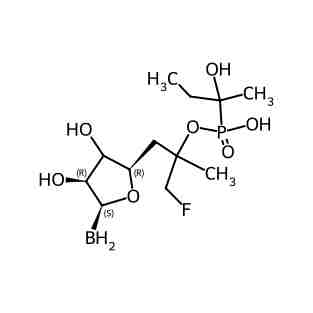 B[C@@H]1O[C@H](CC(C)(CF)OP(=O)(O)C(C)(O)CC)C(O)[C@@H]1O